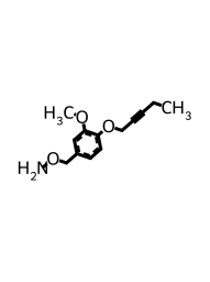 CCC#CCOc1ccc(CON)cc1OC